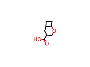 O=C(O)C1COC2CCC2C1